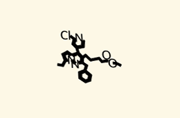 CCOC(=O)CCCCc1c(Cc2ccccc2)nn2c(CC)ccc2c1-c1ccnc(Cl)c1